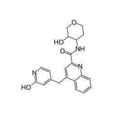 O=C(NC1CCOCC1O)c1cc(Cc2ccnc(O)c2)c2ccccc2n1